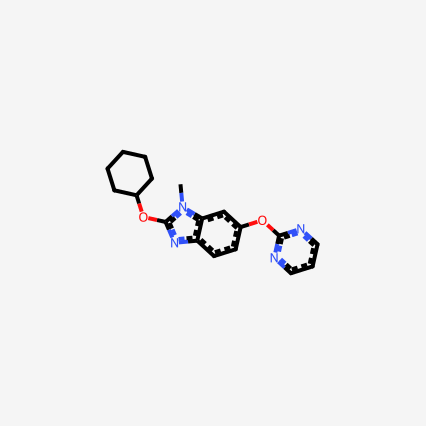 Cn1c(OC2CCCCC2)nc2ccc(Oc3ncccn3)cc21